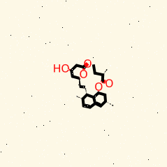 CC[C@H](C)C(=O)O[C@@H]1C[C@H](C)C=C2C=C[C@H](C)[C@H](CC[C@H]3C[C@@H](O)CC(=O)O3)C21